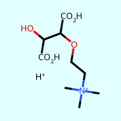 C[N+](C)(C)CCOC(C(=O)O)C(O)C(=O)O.[H+]